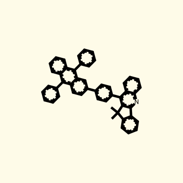 CC1(C)c2ccccc2-c2nc3ccccc3c(-c3ccc(-c4ccc5c(-c6ccccc6)c6ccccc6c(-c6ccccc6)c5c4)cc3)c21